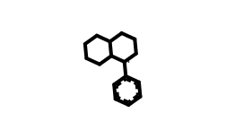 c1ccc([C]2CCCC3CCCCC23)cc1